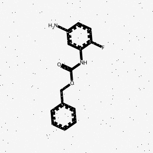 Nc1ccc(F)c(NC(=O)OCc2ccccc2)c1